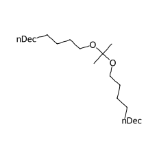 CCCCCCCCCCCCCCOC(C)(C)OCCCCCCCCCCCCCC